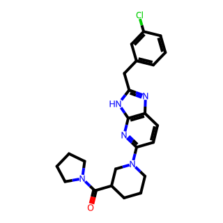 O=C(C1CCCN(c2ccc3nc(Cc4cccc(Cl)c4)[nH]c3n2)C1)N1CCCC1